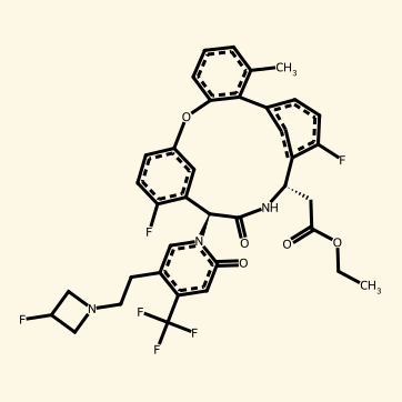 CCOC(=O)C[C@@H]1NC(=O)[C@@H](n2cc(CCN3CC(F)C3)c(C(F)(F)F)cc2=O)c2cc(ccc2F)Oc2cccc(C)c2-c2ccc(F)c1c2